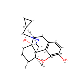 C[C@@H]1CC[C@@]2(O)[C@H]3Cc4ccc(O)c5c4[C@@]2(CCN3CC2CC2)[C@H]1O5